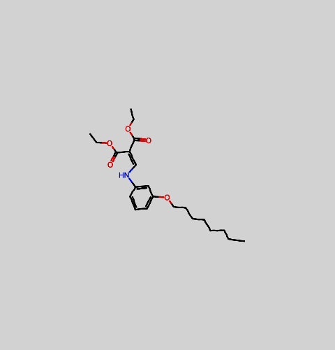 CCCCCCCCOc1cccc(NC=C(C(=O)OCC)C(=O)OCC)c1